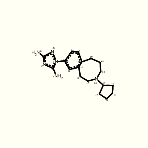 Nc1nc(N)n(-c2ccc3c(c2)CCN(C2CCCC2)CCC3)n1